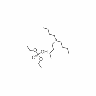 CCCCP(CCCC)CCCC.CCOP(=O)(O)OCC